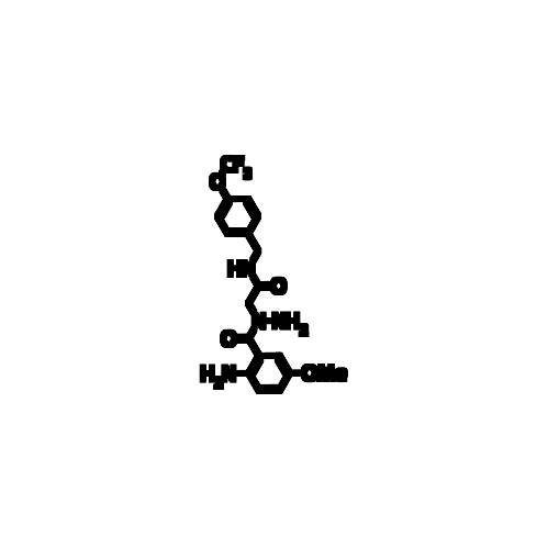 COc1ccc(N)c(C(=O)N(N)CC(=O)NCc2ccc(OC(F)(F)F)cc2)c1